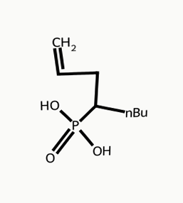 C=CCC(CCCC)P(=O)(O)O